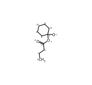 CCCC(=O)OC1([O])CCCCC1